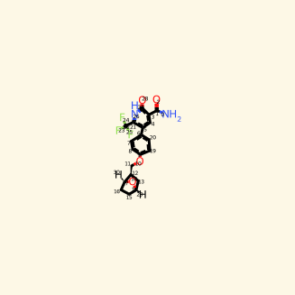 NC(=O)c1cc(-c2ccc(OC[C@H]3C[C@@H]4CC[C@@H]3O4)cc2)c(C(F)(F)F)[nH]c1=O